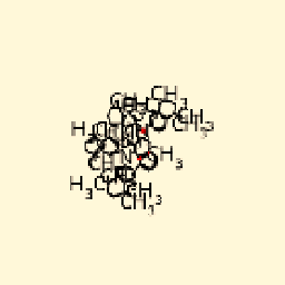 CC1=CC2=C3B(c4cc5c(cc4N2c2cc4c(cc2-c2ccccc2)C(C)(C)CCC4(C)C)C2(C)CCC5(C)C2)c2c(sc4c2C(C)(C)CCC4(C)C)N(c2ccc4c(c2)C(C)(C)CCC4(C)C)[C@H]3C1